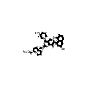 CCc1c(F)ccc2cc(O)cc(-c3ncc4c(N5CCC[C@@](C)(O)C5)nc(OC[C@@]56CCCN5[C@@H](COC)CC6)nc4c3F)c12